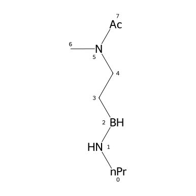 CCCNBCCN(C)C(C)=O